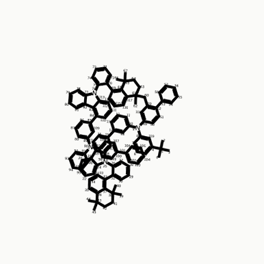 CC(C)(C)c1cccc(N(c2cccc(-c3ccc4c5ccccc5n(-c5ccccc5-c5cccc6c5C(C)(C)CCC6(C)C)c4c3)c2)c2ccc(-c3ccccc3)c(CC3(C)CCC(C)(C)c4c(-c5ccccc5-n5c6ccccc6c6c(-c7cccc(N(c8ccccc8)c8ccc(-c9ccccc9)cc8)c7)cccc65)cccc43)c2)c1